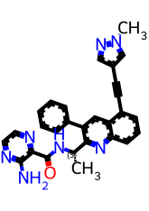 C[C@H](NC(=O)c1nccnc1N)c1nc2cccc(C#Cc3cnn(C)c3)c2cc1-c1ccccc1